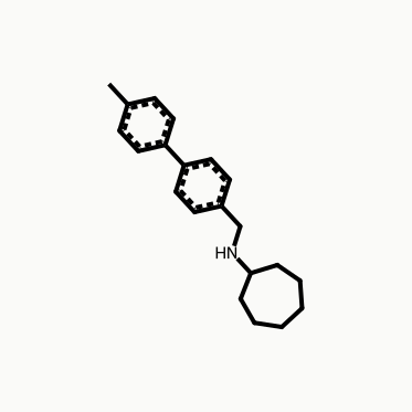 Cc1ccc(-c2ccc(CNC3CCCCCC3)cc2)cc1